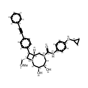 COC[C@@H]1C(c2ccc(C#Cc3ccccc3)cc2)[C@@H]2CN(C(=O)Nc3ccc(OC4CC4)cc3)C[C@@H](O)[C@@H](O)CN12